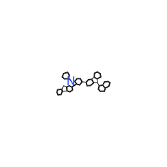 c1ccc(-n2c3ccc(-c4ccc5c(c4)-c4ccccc4C5c4cccc5ccccc45)cc3c3ccc4c(c32)Cc2ccccc2-4)cc1